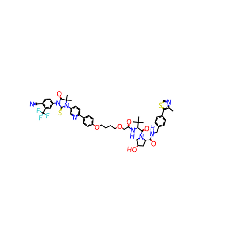 Cc1ncsc1-c1ccc(CNC(=O)[C@@H]2C[C@@H](O)CN2C(=O)[C@@H](NC(=O)COCCCCOc2ccc(-c3ccc(N4C(=S)N(c5ccc(C#N)c(C(F)(F)F)c5)C(=O)C4(C)C)cn3)cc2)C(C)(C)C)cc1